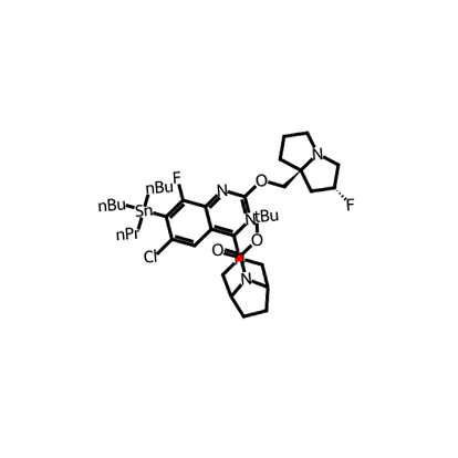 CCC[CH2][Sn]([CH2]CC)([CH2]CCC)[c]1c(Cl)cc2c(N3CC4CCC(C3)N4C(=O)OC(C)(C)C)nc(OC[C@@]34CCCN3C[C@H](F)C4)nc2c1F